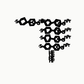 CCCOC12CCC(c3ccc([S])cc3)(CC1)CC2.CCCOC12CCC(c3ccc([S])cc3)(CC1)CC2.CCCOC12CCC(c3ccc([S])cc3)(CC1)CC2.CCCOC12CCC(c3ccc([S])cc3)(CC1)CC2.CCCOC12CCC(c3ccc([S])cc3)(CC1)CC2.F.F.F.F.F